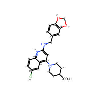 O=C(O)C1CCN(c2cc(NCc3ccc4c(c3)OCO4)nc3ccc(Cl)cc23)CC1